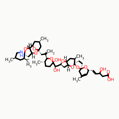 C=C(C[C@@]12C[C@@H](C)C[C@@H](O1)[C@H]1O[C@]3(C[C@H]1O2)NC[C@H](C)C[C@@H]3C)[C@H]1O[C@@](O)([C@H](O)[C@@H]2C[C@H]3O[C@@]4(CC[C@]5(CC(C)=C[C@@H](/C=C/C(O)CC(=O)O)O5)O4)[C@H](C)C[C@H]3O2)CC[C@@H]1C